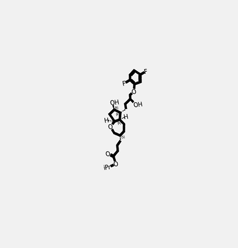 CC(C)OC(=O)CCC[C@H]1CC[C@@H]2[C@@H](CCC(O)COc3cc(F)ccc3F)[C@H](O)C[C@@H]2OC1